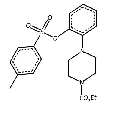 CCOC(=O)N1CCN(c2ccccc2OS(=O)(=O)c2ccc(C)cc2)CC1